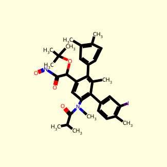 Cc1ccc(-c2c(C(OC(C)(C)C)C(=O)N=O)cc(N(C)C(=O)C(C)C)c(-c3ccc(C)c(I)c3)c2C)cc1C